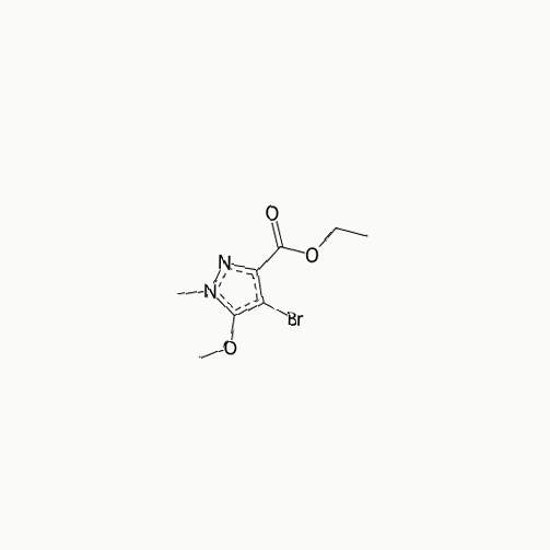 CCOC(=O)c1nn(C)c(OC)c1Br